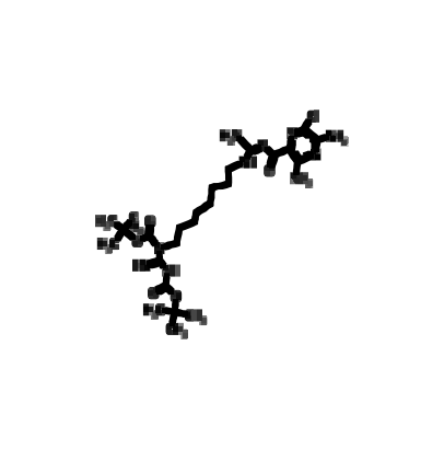 CC(C)(C)OC(=O)NC(=N)N(CCCCCCCCNC(N)=NC(=O)c1nc(Cl)c(N)nc1N)C(=O)OC(C)(C)C